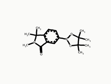 CN1C(=O)c2cc(B3OC(C)(C)C(C)(C)O3)ccc2C1(C)C